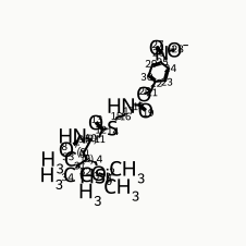 C[SiH](C)OC[C@H]([C@@H]1C(=O)N[C@@H]1CC(=O)SCCNC(=O)OCc1ccc([N+](=O)[O-])cc1)C(C)(C)C